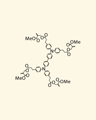 C=C(COC(=O)CCc1ccc(N(c2ccc(CCC(=O)OCC(=C)C(=O)OC)cc2)c2ccc(-c3ccc(N(c4ccc(CCC(=O)OCC(=C)C(=O)OC)cc4)c4ccc(CCC(=O)OCC(=C)C(=O)OC)cc4)cc3)cc2)cc1)C(=O)OC